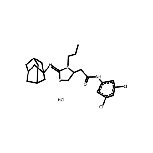 CCCN1C(=NC23CC4CC(CC(C4)C2)C3)SCC1CC(=O)Nc1cc(Cl)cc(Cl)c1.Cl